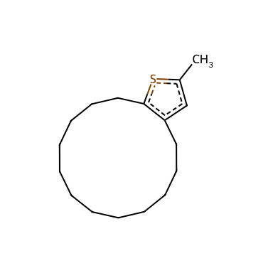 Cc1cc2c(s1)CCCCCCCCCCCC2